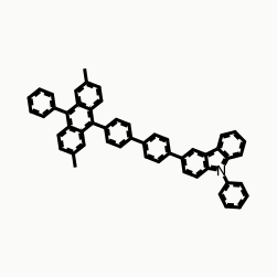 Cc1ccc2c(-c3ccc(-c4ccc(-c5ccc6c(c5)c5ccccc5n6-c5ccccc5)cc4)cc3)c3cc(C)ccc3c(-c3ccccc3)c2c1